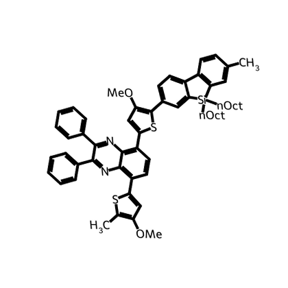 CCCCCCCC[Si]1(CCCCCCCC)c2cc(C)ccc2-c2ccc(-c3sc(-c4ccc(-c5cc(OC)c(C)s5)c5nc(-c6ccccc6)c(-c6ccccc6)nc45)cc3OC)cc21